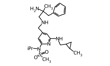 CC1CC1CNc1cc(CNCC(C)(N)Cc2ccccc2)cc(N(C(C)C)S(C)(=O)=O)n1